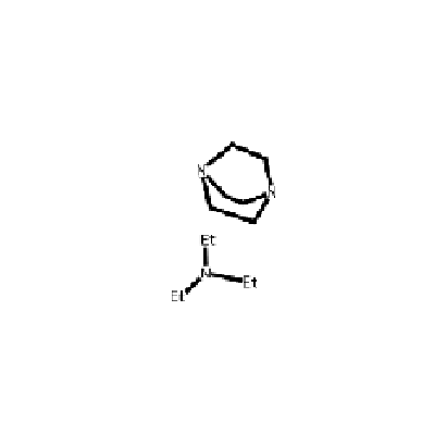 C1CN2CCN1CC2.CCN(CC)CC